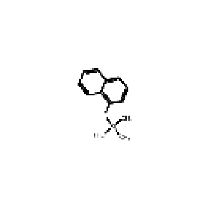 C[Si](C)(C)Oc1c[c]cc2ccccc12